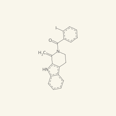 C=C1c2[nH]c3ccccc3c2CCN1C(=O)c1ccccc1I